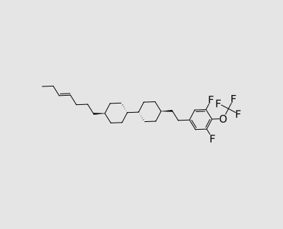 CC/C=C/CCC[C@H]1CC[C@H]([C@H]2CC[C@H](CCc3cc(F)c(OC(F)(F)F)c(F)c3)CC2)CC1